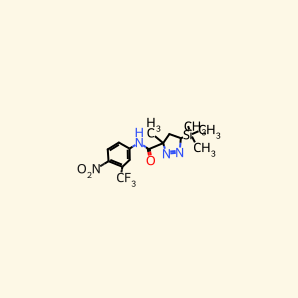 CC1(C(=O)Nc2ccc([N+](=O)[O-])c(C(F)(F)F)c2)CC([Si](C)(C)C)N=N1